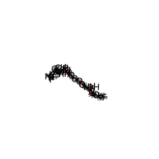 CC1(C)C(=O)N(c2ccc(C#N)c(C(F)(F)F)c2)C(=S)N1c1ccc(C(=O)NCCOCCOCCOCCOCCNC[C@@H](O)COc2cccc(OCc3ccc(F)cc3)c2)c(F)c1